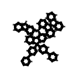 c1ccc(-c2ccc(C3(c4ccc(-c5ccccc5)cc4)c4ccccc4-c4c(N(c5ccc6c(c5)sc5ccccc56)c5cccc6c5-c5ccccc5C65c6ccccc6-c6ccccc65)cccc43)cc2)cc1